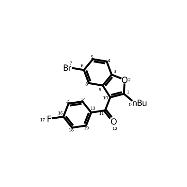 CCCCc1oc2ccc(Br)cc2c1C(=O)c1ccc(F)cc1